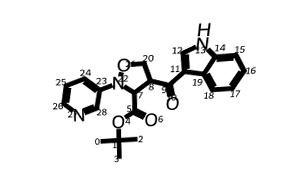 CC(C)(C)OC(=O)C1C(C(=O)c2c[nH]c3ccccc23)CON1c1cccnc1